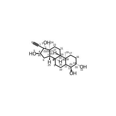 C#C[C@]1(O)[C@H](O)C[C@H]2[C@@H]3CCC4[C@H](O)[C@@H](O)CC[C@]4(C)[C@H]3CC[C@@]21C